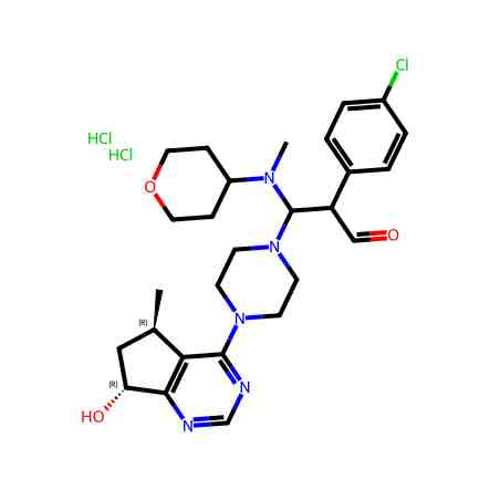 C[C@@H]1C[C@@H](O)c2ncnc(N3CCN(C(C(C=O)c4ccc(Cl)cc4)N(C)C4CCOCC4)CC3)c21.Cl.Cl